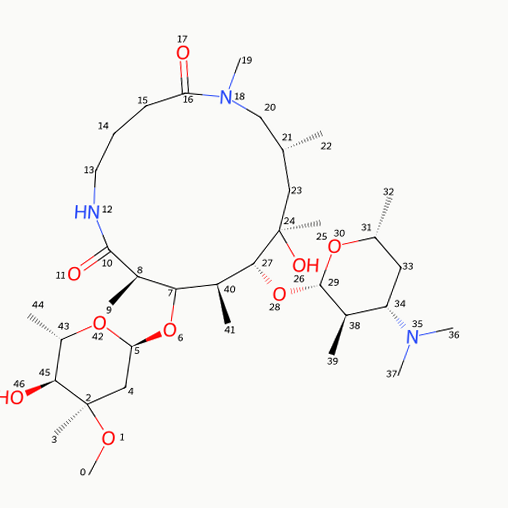 CO[C@]1(C)C[C@H](OC2[C@@H](C)C(=O)NCCCC(=O)N(C)C[C@H](C)C[C@@](C)(O)[C@H](O[C@@H]3O[C@H](C)C[C@H](N(C)C)[C@H]3C)[C@H]2C)O[C@@H](C)[C@@H]1O